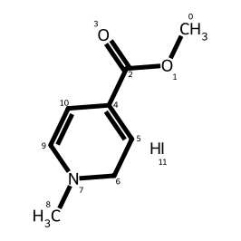 COC(=O)C1=CCN(C)C=C1.I